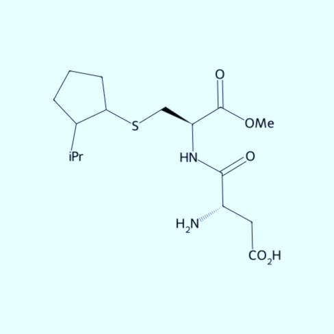 COC(=O)[C@H](CSC1CCCC1C(C)C)NC(=O)[C@@H](N)CC(=O)O